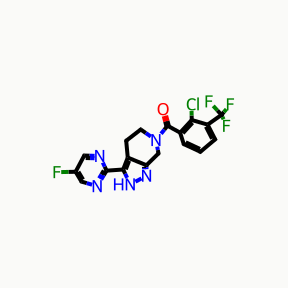 O=C(c1cccc(C(F)(F)F)c1Cl)N1CCc2c(n[nH]c2-c2ncc(F)cn2)C1